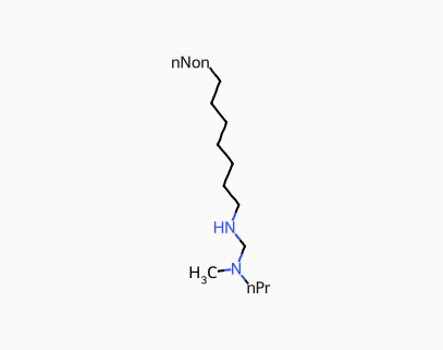 CCCCCCCCCCCCCCCCNCN(C)CCC